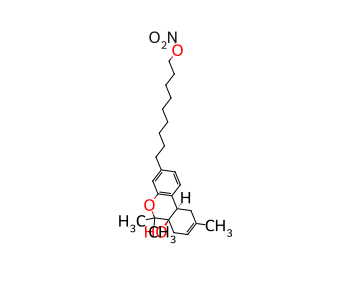 CC1=CC[C@@]2(O)[C@H](C1)c1ccc(CCCCCCCCCO[N+](=O)[O-])cc1OC2(C)C